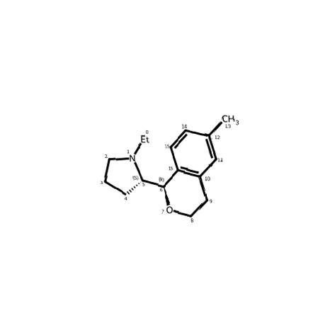 CCN1CCC[C@H]1[C@@H]1OCCc2cc(C)ccc21